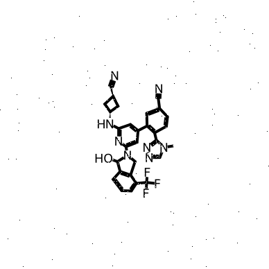 Cn1cnnc1-c1ccc(C#N)cc1-c1cc(N[C@H]2C[C@H](C#N)C2)nc(N2Cc3c(cccc3C(F)(F)F)C2O)c1